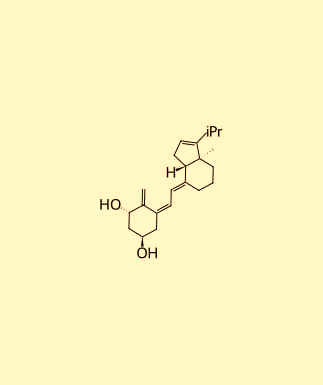 C=C1/C(=C\C=C2/CCC[C@]3(C)C(C(C)C)=CC[C@@H]23)C[C@@H](O)C[C@@H]1O